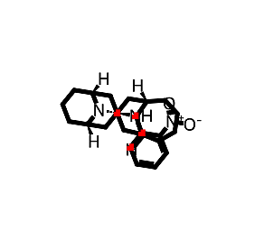 O=[N+]([O-])c1ccccc1N[C@@H]1C[C@H]2CCC[C@@H](C1)N2[C@@H]1C[C@@H]2CCCC[C@@H](C2)C1